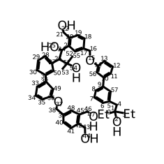 CCC(O)(CC)Cc1cccc(-c2cccc(OCc3ccc(CO)c(C(O)C(c4cccc(-c5cccc(OCc6ccc(CO)c(CO)c6)c5)c4)C(C)(C)O)c3)c2)c1